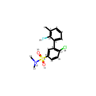 Cc1cccc(-c2cc(S(=O)(=O)N(C)C)ccc2Cl)c1F